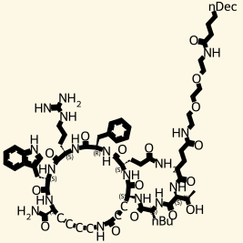 CCCCCCCCCCCCCC(=O)NCCOCCOCCNC(=O)CCCC(=O)N[C@H](C(=O)N[C@@H](CCCC)C(=O)N[C@H]1CCC(=O)NCCCC[C@@H](C(N)=O)NC(=O)[C@H](Cc2c[nH]c3ccccc23)NC(=O)[C@H](CCCNC(=N)N)NC(=O)[C@@H](Cc2ccccc2)NC(=O)[C@H](CCC(N)=O)NC1=O)[C@@H](C)O